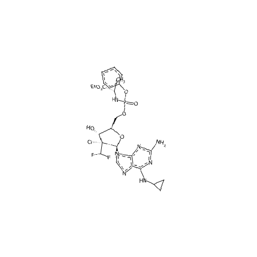 CCOC(=O)[C@H](C)NP(=O)(OC[C@H]1O[C@@H](n2cnc3c(NC4CC4)nc(N)nc32)[C@@](Cl)(C(F)F)[C@@H]1O)Oc1ccccc1